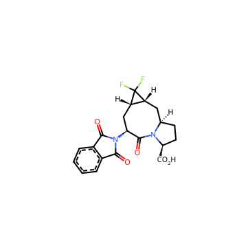 O=C(O)[C@@H]1CC[C@@H]2C[C@@H]3[C@H](C[C@H](N4C(=O)c5ccccc5C4=O)C(=O)N21)C3(F)F